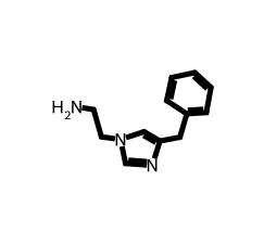 NCCn1cnc(Cc2ccccc2)c1